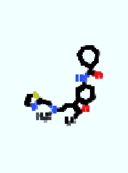 Cc1oc2ccc(NC(=O)C3CCCCCC3)cc2c1CCN(C)Cc1nccs1